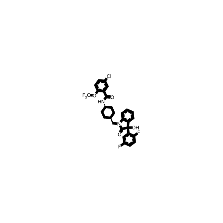 O=C(N[C@H]1CC[C@H](CN2C(=O)C(O)(c3cc(F)ccc3F)c3ccccc32)CC1)c1cc(Cl)ccc1OC(F)(F)F